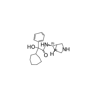 O=C(N[C@H]1C2CNC[C@@H]21)C(O)(c1ccccc1)C1CCCCCC1